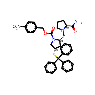 NC(=O)[C@@H]1CCCN1C[C@@H]1C[C@H](SC(c2ccccc2)(c2ccccc2)c2ccccc2)CN1C(=O)OCc1ccc([N+](=O)[O-])cc1